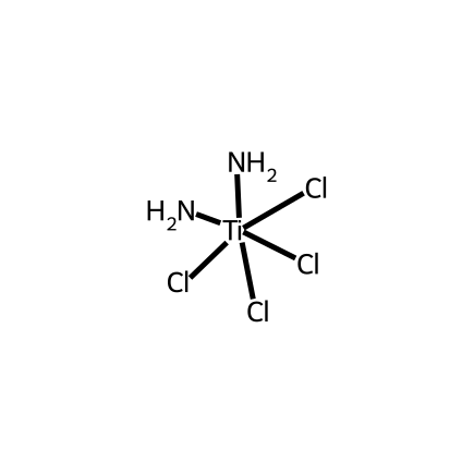 [NH2][Ti]([NH2])([Cl])([Cl])([Cl])[Cl]